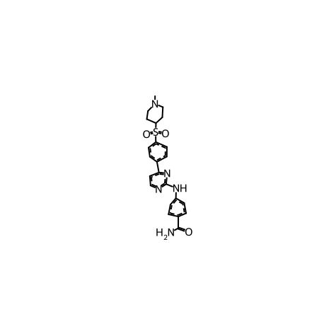 CN1CCC(S(=O)(=O)c2ccc(-c3ccnc(Nc4ccc(C(N)=O)cc4)n3)cc2)CC1